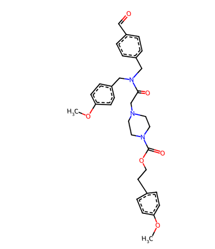 COc1ccc(CCOC(=O)N2CCN(CC(=O)N(Cc3ccc(C=O)cc3)Cc3ccc(OC)cc3)CC2)cc1